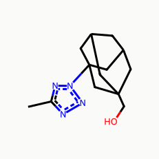 Cc1nnn(C23CC4CC(CC(CO)(C4)C2)C3)n1